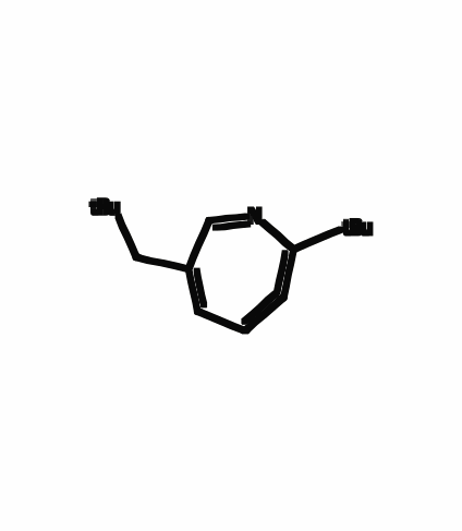 CC(C)(C)CC1=CC=C=C(C(C)(C)C)N=C1